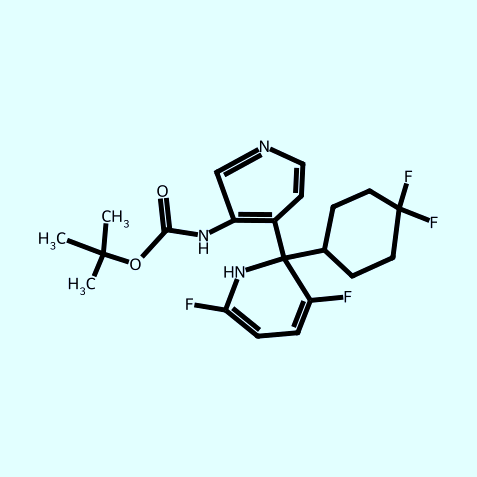 CC(C)(C)OC(=O)Nc1cnccc1C1(C2CCC(F)(F)CC2)NC(F)=CC=C1F